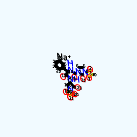 CS(=O)(=O)N1CCN(C(=O)NC(C(=O)NC2CN(S(=O)(=O)[O-])C2=O)c2ccccc2)C1=O.[Na+]